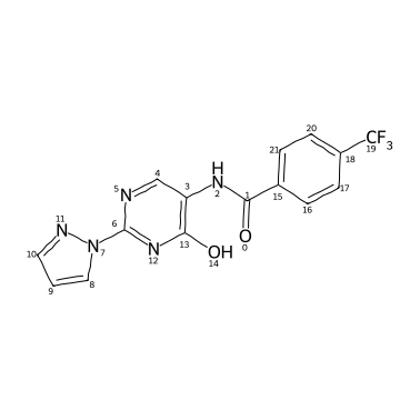 O=C(Nc1cnc(-n2cccn2)nc1O)c1ccc(C(F)(F)F)cc1